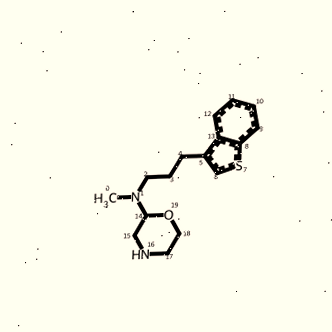 CN(CCCc1csc2ccccc12)C1CNCCO1